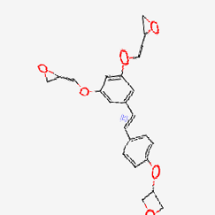 C(=C\c1cc(OCC2CO2)cc(OCC2CO2)c1)/c1ccc(OC2COC2)cc1